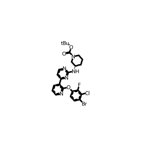 CC(C)(C)OC(=O)N1CCC[C@H](Nc2nccc(-c3cccnc3Oc3ccc(Br)c(Cl)c3F)n2)C1